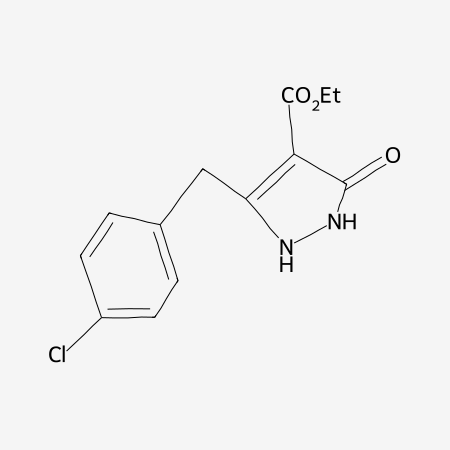 CCOC(=O)c1c(Cc2ccc(Cl)cc2)[nH][nH]c1=O